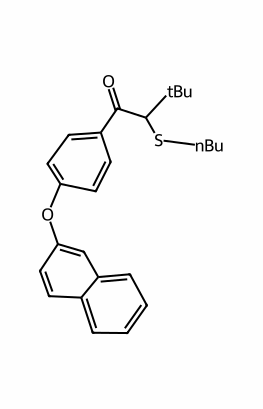 CCCCSC(C(=O)c1ccc(Oc2ccc3ccccc3c2)cc1)C(C)(C)C